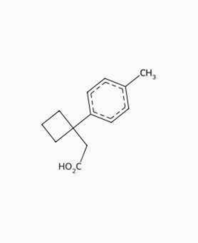 Cc1ccc(C2(CC(=O)O)CCC2)cc1